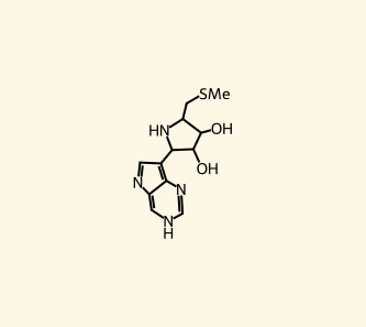 CSCC1NC(c2cnc3c[nH]cnc2-3)C(O)C1O